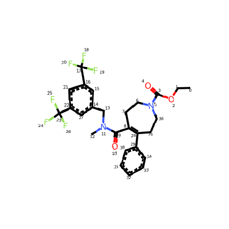 CCOC(=O)N1CCC(C(=O)N(C)Cc2cc(C(F)(F)F)cc(C(F)(F)F)c2)=C(c2ccccc2)CC1